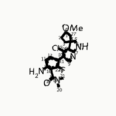 COC1CCC2(CNc3ncc(-c4ccc(N)c(C(=O)N(C)C)c4F)c(Cl)c32)C1